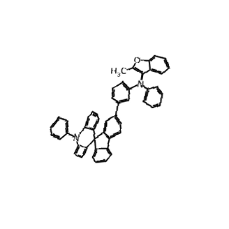 Cc1oc2ccccc2c1N(c1ccccc1)c1cccc(-c2ccc3c(c2)C2(c4ccccc4-3)c3ccccc3N(c3ccccc3)c3ccccc32)c1